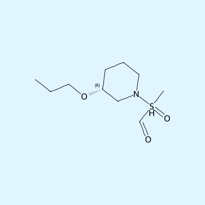 CCCO[C@@H]1CCCN([SH](C)(=O)C=O)C1